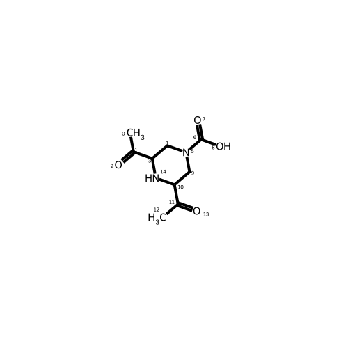 CC(=O)C1CN(C(=O)O)CC(C(C)=O)N1